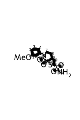 COc1cccc(N2CCC3C=C(S(N)(=O)=O)SC3S2(=O)=O)c1